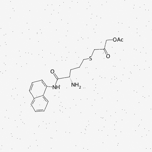 CC(=O)OCC(=O)CSCCC[C@H](N)C(=O)Nc1cccc2ccccc12